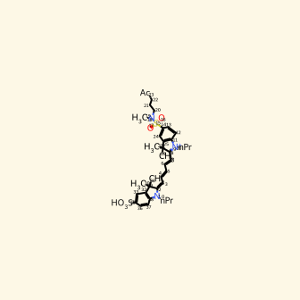 CCCN1/C(=C/C=C/C=C/C2=[N+](CCC)c3ccc(S(=O)(=O)N(C)CCCC(C)=O)cc3C2(C)C)C(C)(C)c2cc(S(=O)(=O)O)ccc21